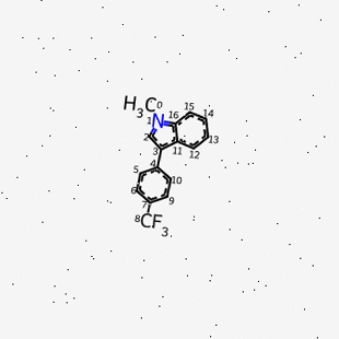 Cn1cc(-c2ccc(C(F)(F)F)cc2)c2ccccc21